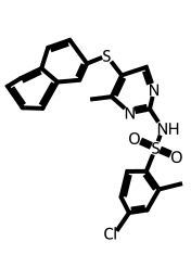 Cc1cc(Cl)ccc1S(=O)(=O)Nc1ncc(Sc2ccc3ccccc3c2)c(C)n1